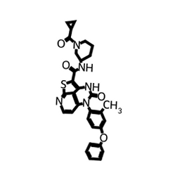 Cc1cc(Oc2ccccc2)ccc1N1C(=O)Nc2c(C(=O)NC3CCCN(C(=O)C4CC4)C3)sc3nccc1c23